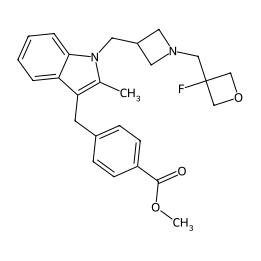 COC(=O)c1ccc(Cc2c(C)n(CC3CN(CC4(F)COC4)C3)c3ccccc23)cc1